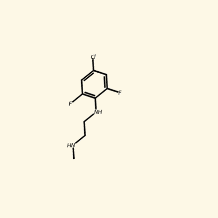 CNCCNc1c(F)cc(Cl)cc1F